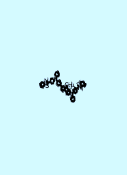 CC1(C)c2cc(-c3ccc(N(c4ccccc4)c4ccc(-c5nc6ccccc6s5)cc4)cc3)ccc2-c2ccc(N(c3ccccc3)c3ccc(-c4nc5ccccc5s4)cc3)cc21